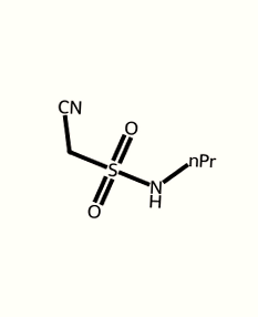 CCCNS(=O)(=O)CC#N